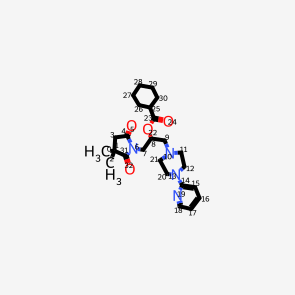 CC1(C)CC(=O)N(CC(CN2CCN(c3ccccn3)CC2)OC(=O)C2CCCCC2)C1=O